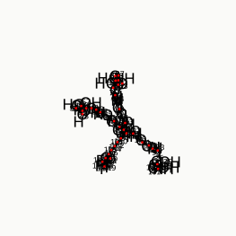 CO[C@@H]1O[C@H](CCCc2cn(CCOCCOCCNC(=O)CCC(CCC(=O)NCCOCCOCCn3cc(COC[C@H]4O[C@@H](OC)[C@H](NC(C)=O)[C@@H](O)[C@H]4O)nn3)(CCC(=O)NCCOCCOCCn3cc(COC[C@H]4O[C@@H](OC)[C@H](NC(C)=O)[C@@H](O)[C@H]4O)nn3)NC(=O)CCCCCCCCCCC(=O)Oc3c(F)c(F)c(F)c(F)c3F)nn2)[C@H](O)[C@H](O)[C@H]1NC(C)=O